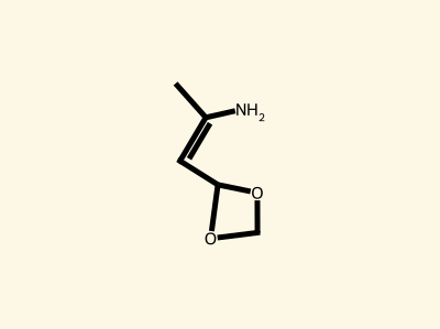 CC(N)=CC1OCO1